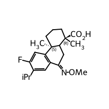 CON=C1CC2[C@](C)(C(=O)O)CCC[C@]2(C)c2cc(F)c(C(C)C)cc21